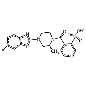 CCCS(=O)(=O)c1ccccc1C(=O)N1CCN(c2nc3ccc(F)cc3o2)C[C@@H]1C